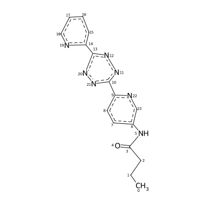 CCCC(=O)Nc1ccc(-c2nnc(-c3ccccn3)nn2)nc1